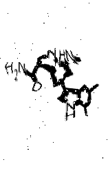 CNc1cc(-c2c[nH]c3c(C)cc(C)cc23)cc2c(C(N)=O)cnn12